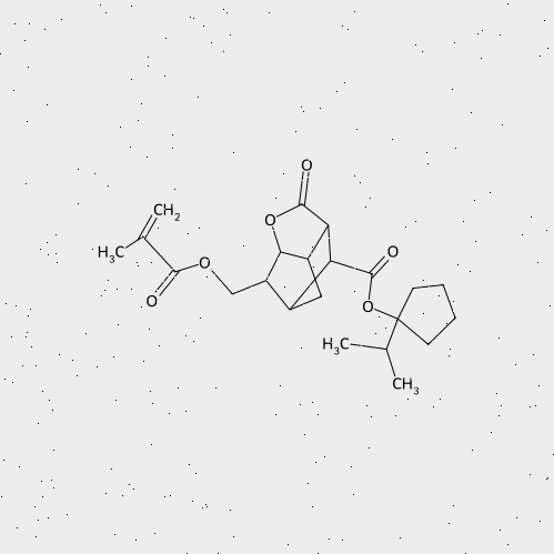 C=C(C)C(=O)OCC1C2CC3C1OC(=O)C3C2C(=O)OC1(C(C)C)CCCC1